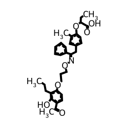 CCCc1c(OCCCON=C(Cc2ccc(OC(CC)C(=O)O)c(C)c2)c2ccccc2)ccc(C(C)=O)c1O